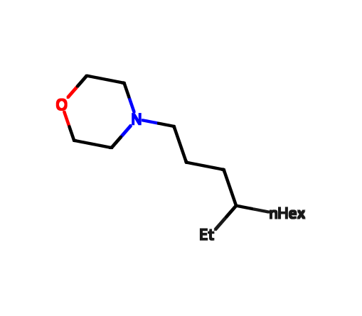 CCCCCCC(CC)CCCN1CCOCC1